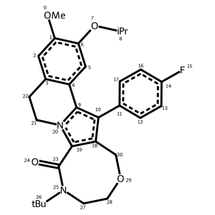 COc1cc2c(cc1OC(C)C)-c1c(-c3ccc(F)cc3)c3c(n1CC2)C(=O)N(C(C)(C)C)CCOC3